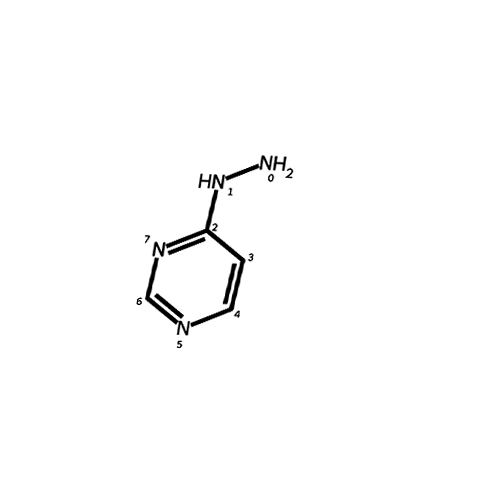 NNc1ccncn1